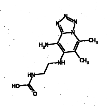 Cc1c(NCCNC(=O)O)c(N)c2nnnn2c1C